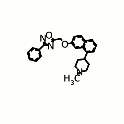 CN1CCC(c2cccc3ccc(OCc4nc(-c5ccccc5)no4)cc23)CC1